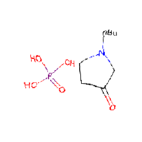 CCCCN1CCC(=O)C1.O=P(O)(O)O